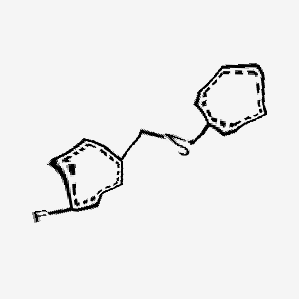 Fc1ccc(CSc2ccccc2)cc1